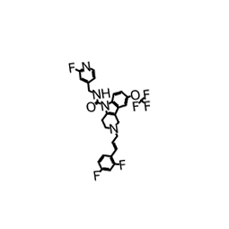 O=C(NCc1ccnc(F)c1)n1c2c(c3cc(OC(F)(F)F)ccc31)CN(CC=Cc1ccc(F)cc1F)CC2